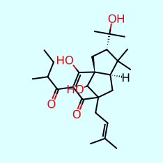 CCC(C)C(=O)C1=C(O)[C@]23C[C@H](C(C)(C)O)C(C)(C)[C@H]2CC(CC=C(C)C)(C1=O)C3O